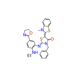 CCNc1ccc(C2=NCCO2)cc1N=C1SC(=C2Sc3ccccc3N2C)C(=O)N1Cc1ccccc1